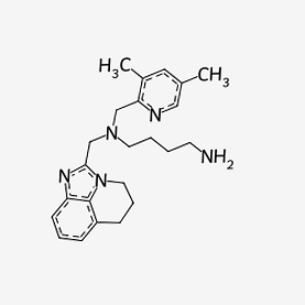 Cc1cnc(CN(CCCCN)Cc2nc3cccc4c3n2CCC4)c(C)c1